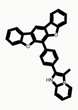 CC1=C(c2ccc(-c3c4oc5ccccc5c4cc4c3oc3ccccc34)cc2)NC2C=CC=CN12